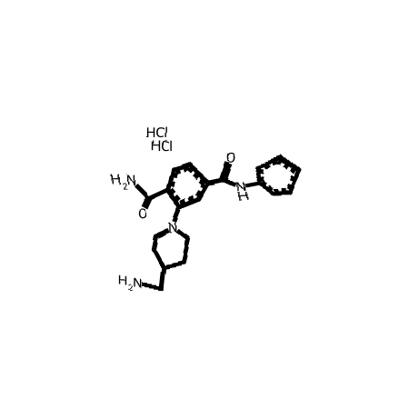 Cl.Cl.NCC1CCN(c2cc(C(=O)Nc3ccccc3)ccc2C(N)=O)CC1